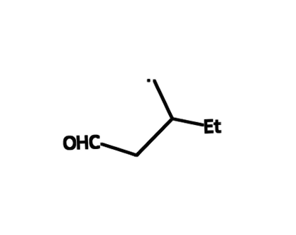 [CH2]C(CC)CC=O